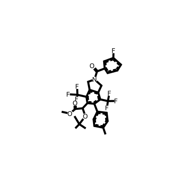 COC(=O)C(OC(C)(C)C)c1c(-c2ccc(C)cc2)c(C(F)(F)F)c2c(c1C(F)(F)F)CN(C(=O)c1cccc(F)c1)C2